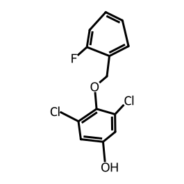 Oc1cc(Cl)c(OCc2ccccc2F)c(Cl)c1